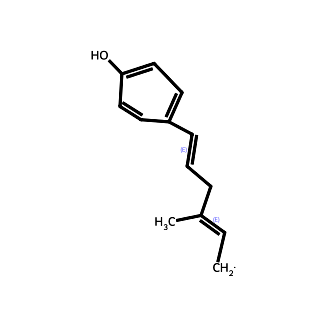 [CH2]/C=C(\C)C/C=C/c1ccc(O)cc1